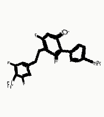 CCCc1ccc(-c2c([O])cc(F)c(CCc3cc(F)c(C(F)(F)F)c(F)c3)c2F)cc1